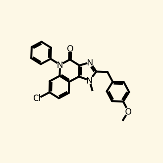 COc1ccc(Cc2nc3c(=O)n(-c4ccccc4)c4cc(Cl)ccc4c3n2C)cc1